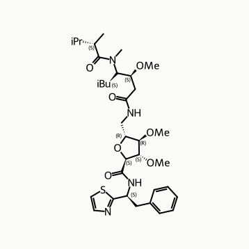 CC[C@H](C)C([C@H](CC(=O)NC[C@H]1O[C@H](C(=O)N[C@@H](Cc2ccccc2)c2nccs2)[C@@H](OC)[C@@H]1OC)OC)N(C)C(=O)[C@@H](C)C(C)C